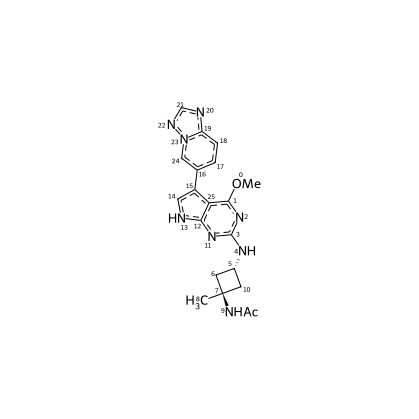 COc1nc(N[C@H]2C[C@](C)(NC(C)=O)C2)nc2[nH]cc(-c3ccc4ncnn4c3)c12